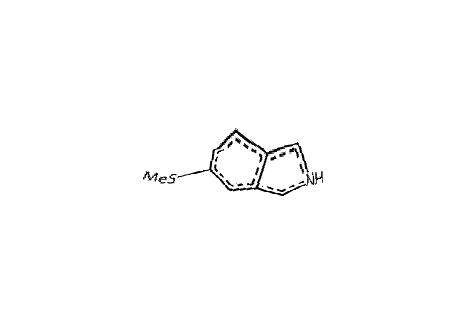 CSc1ccc2c[nH]cc2c1